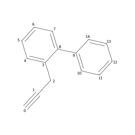 C#CCc1ccccc1-c1ccccc1